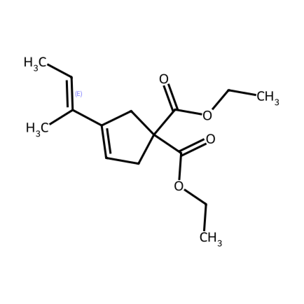 C/C=C(\C)C1=CCC(C(=O)OCC)(C(=O)OCC)C1